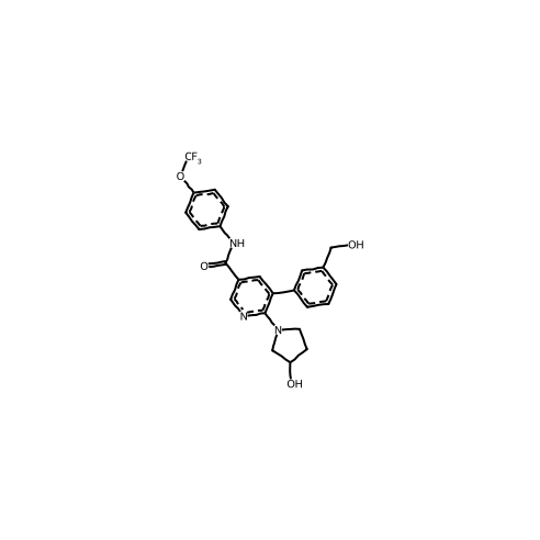 O=C(Nc1ccc(OC(F)(F)F)cc1)c1cnc(N2CCC(O)C2)c(-c2cccc(CO)c2)c1